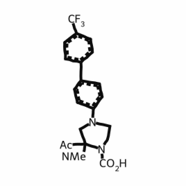 CNC1(C(C)=O)CN(c2ccc(-c3ccc(C(F)(F)F)cc3)cc2)CCN1C(=O)O